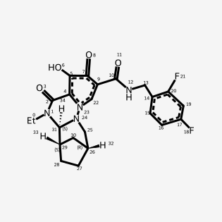 CCN1C(=O)c2c(O)c(=O)c(C(=O)NCc3ccc(F)cc3F)cn2N2C[C@@H]3CC[C@@H](C3)[C@@H]12